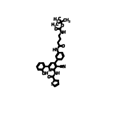 CC(C)(C)OC(=O)NCCCC(=O)Nc1cccc(-c2cc(-c3ccccc3O)nc(NC(=O)c3cccs3)c2C#N)c1